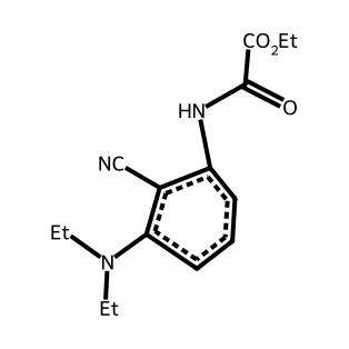 CCOC(=O)C(=O)Nc1cccc(N(CC)CC)c1C#N